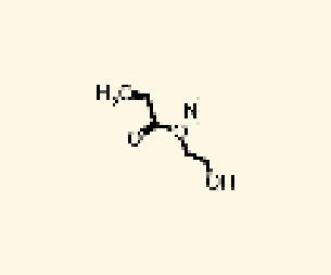 C=CC(=O)OCCO.[N]